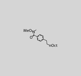 CCCCCCCCCCc1ccc(C(=O)N(C)OC)cc1